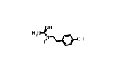 N=C(N)N(F)CCc1ccc(O)cc1